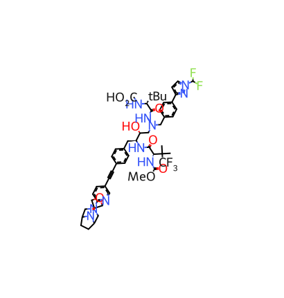 COC(=O)N[C@H](C(=O)N[C@@H](Cc1ccc(C#Cc2ccc(N3CC4CCC(C3)N4C3COC3)nc2)cc1)[C@@H](O)CN(Cc1ccc(-c2ccn(C(F)F)n2)cc1)NC(=O)[C@@H](NC(=O)O)C(C)(C)C)C(C)(C)C(F)(F)F